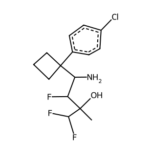 CC(O)(C(F)F)C(F)C(N)C1(c2ccc(Cl)cc2)CCC1